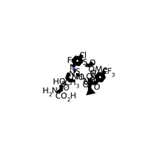 COC(=O)CSc1cc(/N=c2\sc(=O)n3n2CCCC3)c(F)cc1Cl.CP(=O)(O)CCC(N)C(=O)O.CS(=O)(=O)c1cc(C(F)(F)F)ccc1C(=O)c1cnoc1C1CC1